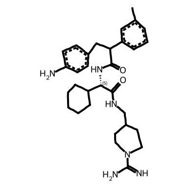 Cc1cccc(C(Cc2ccc(N)cc2)C(=O)N[C@H](C(=O)NCC2CCN(C(=N)N)CC2)C2CCCCC2)c1